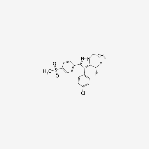 CCn1nc(-c2ccc(S(C)(=O)=O)cc2)c(-c2ccc(Cl)cc2)c1C(F)F